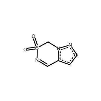 O=S1(=O)Cn2nccc2C=N1